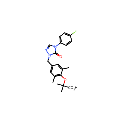 Cc1cc(Cn2ncn(-c3ccc(F)cc3)c2=O)cc(C)c1OC(C)(C)C(=O)O